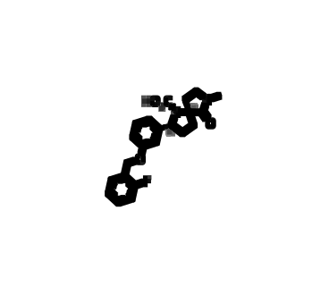 CN1CC[C@]2(CC[C@H](c3cccc(OCc4ccccc4F)c3)N2C(=O)O)C1=O